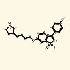 O=S1(=O)N=C(c2ccc(Cl)cc2)c2ccc(OCCCCC3CCNC3)cc21